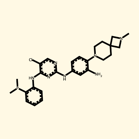 CN1CC2(CCN(c3ccc(Nc4ncc(Cl)c(Nc5ccccc5P(C)C)n4)cc3N)CC2)C1